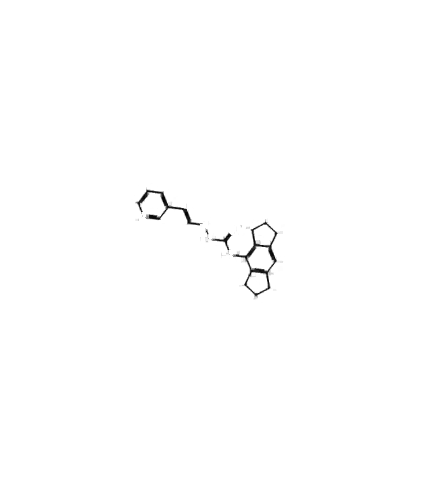 O=C(NS/C=C/c1cccnc1)Nc1c2c(cc3c1CCC3)CCC2